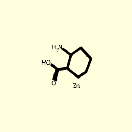 NC1CCCCC1C(=O)O.[Zn]